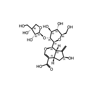 C=C1[C@H]2[C@H]([C@@H]3O[C@H](CO)[C@@H](O)[C@H](O)[C@H]3O[C@@H]3OC[C@](O)(CO)[C@H]3O)OC=C(C(=O)O)[C@H]2C[C@@H]1O